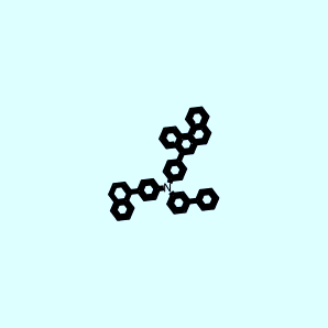 C1=C(c2ccc(N(c3ccc(-c4cc5ccc6ccccc6c5c5ccccc45)cc3)c3cccc(-c4ccccc4)c3)cc2)c2ccccc2CC1